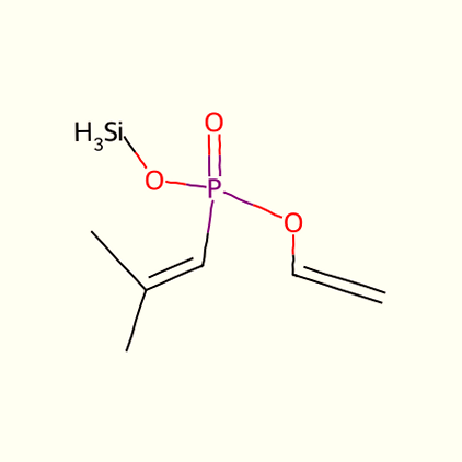 C=COP(=O)(C=C(C)C)O[SiH3]